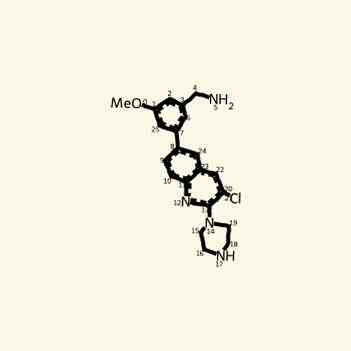 COc1cc(CN)cc(-c2ccc3nc(N4CCNCC4)c(Cl)cc3c2)c1